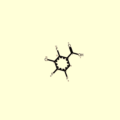 O=C(O)c1cc(F)c(F)c(Cl)c1F